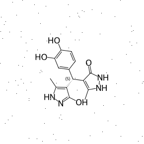 Cc1[nH]nc(O)c1[C@H](c1ccc(O)c(O)c1)c1c(C)[nH][nH]c1=O